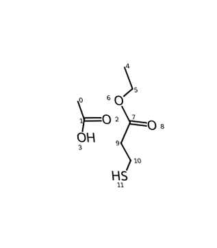 CC(=O)O.CCOC(=O)CCS